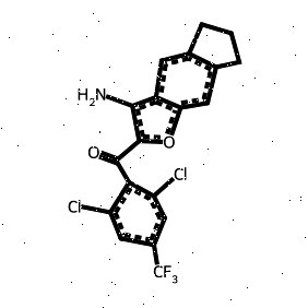 Nc1c(C(=O)c2c(Cl)cc(C(F)(F)F)cc2Cl)oc2cc3c(cc12)CCC3